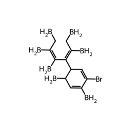 BC/C(B)=C(B)\C(=C(\B)CB)C1C=C(Br)C(B)=CC1B